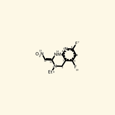 CCN(Cc1cnc(F)cc1F)/C(=C/[N+](=O)[O-])NC